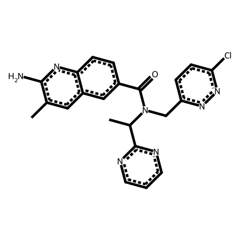 Cc1cc2cc(C(=O)N(Cc3ccc(Cl)nn3)C(C)c3ncccn3)ccc2nc1N